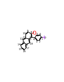 Ic1ccc2c(c1)oc1ccc3cc4ccccc4cc3c12